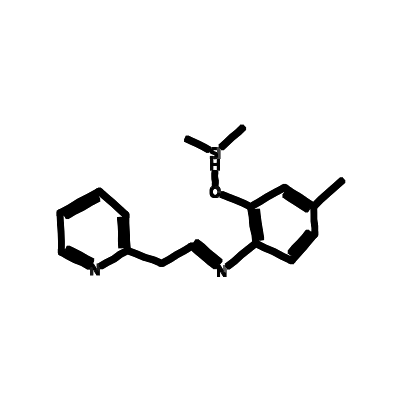 Cc1ccc(N=CCc2ccccn2)c(O[SiH](C)C)c1